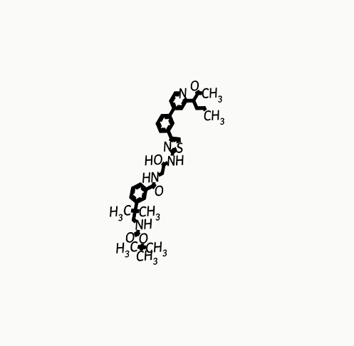 CCCC(C(C)=O)c1cc(-c2cccc(-c3csc(NC(O)CNC(=O)c4cccc(C(C)(C)CNC(=O)OC(C)(C)C)c4)n3)c2)ccn1